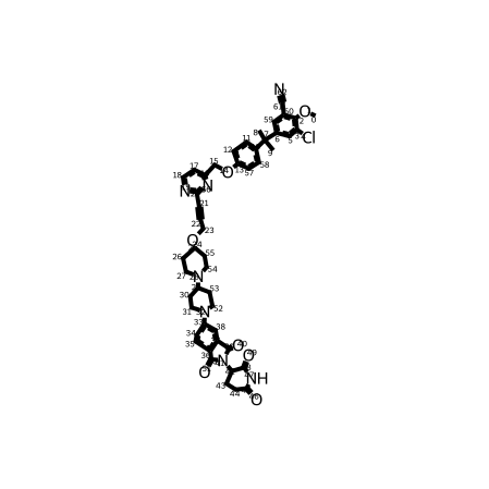 COc1c(Cl)cc(C(C)(C)c2ccc(OCc3ccnc(C#CCOC4CCN(C5CCN(c6ccc7c(c6)C(=O)N(C6CCC(=O)NC6=O)C7=O)CC5)CC4)n3)cc2)cc1C#N